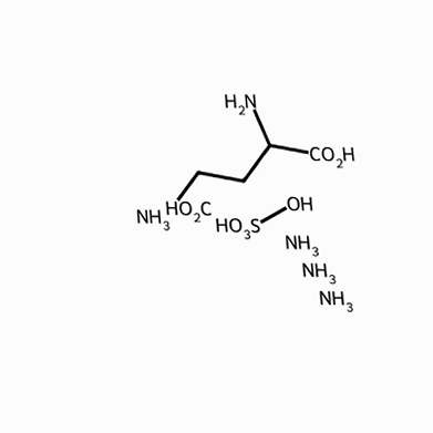 N.N.N.N.NC(CCC(=O)O)C(=O)O.O=S(=O)(O)O